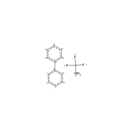 NC(F)(F)F.c1ccc(-c2ccccc2)cc1